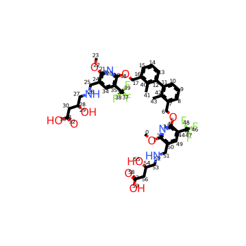 COc1nc(OCc2cccc(-c3cccc(COc4nc(OC)c(CNCC(O)CC(=O)O)cc4C(F)(F)F)c3C)c2C)c(C(F)(F)F)cc1CNCC(O)CC(=O)O